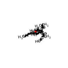 C=C(C)C(=O)OCC(CCCC(F)(F)C(F)(F)C(F)(F)C(F)(F)CCCCCCC)(COC(=O)C(=C)C)COC(=O)C(=C)COCCO